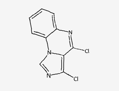 Clc1ncn2c1c(Cl)nc1ccccc12